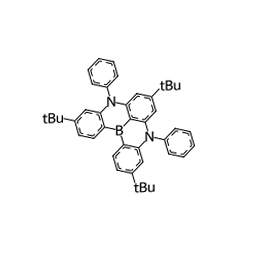 CC(C)(C)c1ccc2c(c1)N(c1ccccc1)c1cc(C(C)(C)C)cc3c1B2c1ccc(C(C)(C)C)cc1N3c1ccccc1